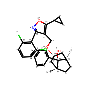 O[C@@]1(c2ccccc2)[C@@H]2CC[C@H]1C[C@H](OCc1c(-c3c(Cl)cccc3Cl)noc1C1CC1)C2